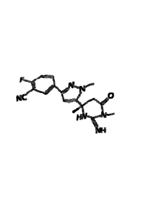 CN1C(=N)N[C@](C)(c2cc(-c3ccc(F)c(C#N)c3)nn2C)CC1=O